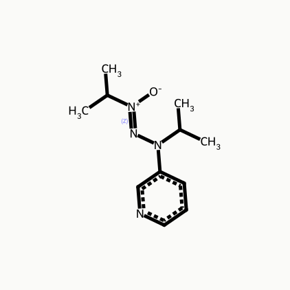 CC(C)N(/N=[N+](\[O-])C(C)C)c1cccnc1